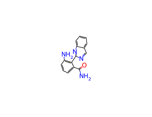 NC(=O)c1cccc(N)c1-c1ncc2ccccc2n1